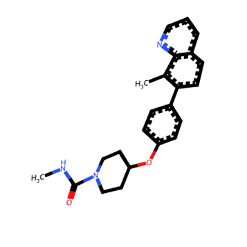 CNC(=O)N1CCC(Oc2ccc(-c3ccc4cccnc4c3C)cc2)CC1